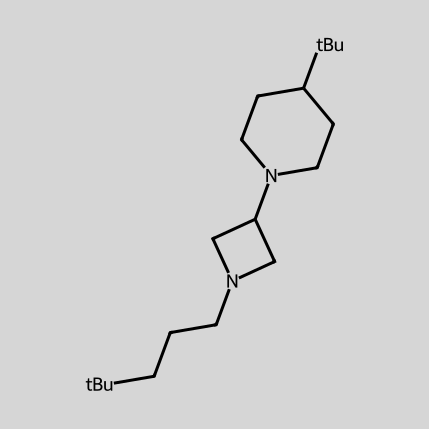 CC(C)(C)CCCN1CC(N2CCC(C(C)(C)C)CC2)C1